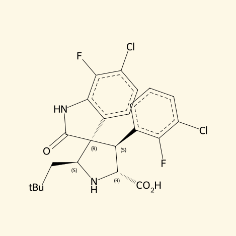 CC(C)(C)C[C@@H]1N[C@@H](C(=O)O)[C@H](c2cccc(Cl)c2F)[C@]12C(=O)Nc1c2ccc(Cl)c1F